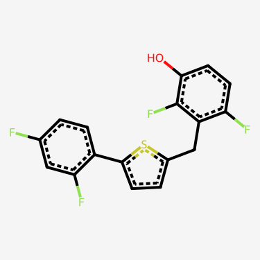 Oc1ccc(F)c(Cc2ccc(-c3ccc(F)cc3F)s2)c1F